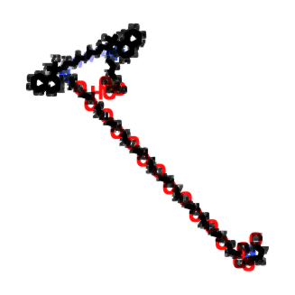 CC1(C)C(/C=C/C=C/C=C/C=C2\N(CCOCCOCCOCCOCCOCCOCCOCCOCCOCCOCCOCCOCCC(=O)ON3C(=O)CCC3=O)c3ccc4ccccc4c3C2(C)C)=[N+](CCCCS(=O)(=O)O)c2ccc3ccccc3c21